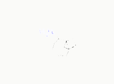 NCC1CCCCC23CCC12C3